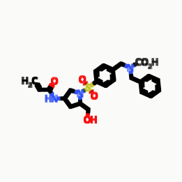 C=CC(=O)NC1CC(CO)N(S(=O)(=O)c2ccc(CN(Cc3ccccc3)C(=O)O)cc2)C1